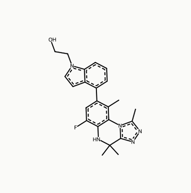 Cc1c(-c2cccc3c2ccn3CCO)cc(F)c2c1-n1c(C)nnc1C(C)(C)N2